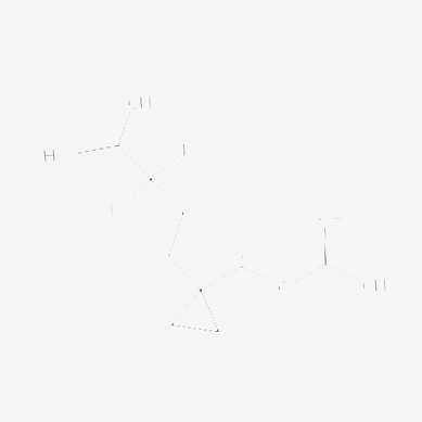 CC(C)OCC1(CCC(F)(F)C(C)C)CC1